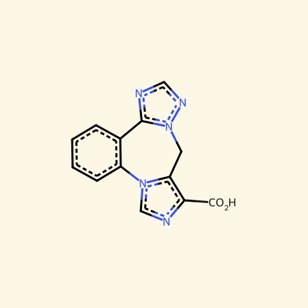 O=C(O)c1ncn2c1Cn1ncnc1-c1ccccc1-2